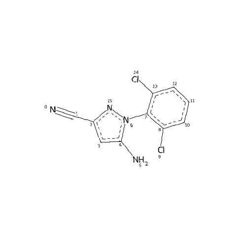 N#Cc1cc(N)n(-c2c(Cl)cccc2Cl)n1